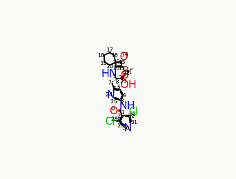 O=C(Nc1ccc(C[C@H](NC2=C(Br)C(=O)C23CCCCC3)C(=O)O)nc1)c1c(Cl)cncc1Cl